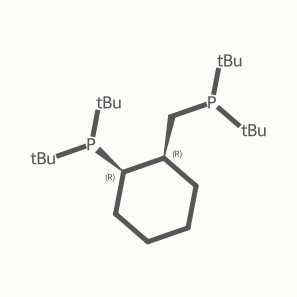 CC(C)(C)P(C[C@H]1CCCC[C@H]1P(C(C)(C)C)C(C)(C)C)C(C)(C)C